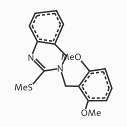 COc1cccc(OC)c1CN1Cc2ccccc2N=C1SC